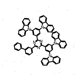 c1ccc(-c2cccc(-c3nc(-c4cc(-n5c6ccccc6c6ccccc65)cc(-n5c6ccccc6c6ccccc65)c4)nc(-c4cc(-n5c6ccccc6c6ccccc65)cc(-n5c6ccccc6c6ccccc65)c4)n3)c2)cc1